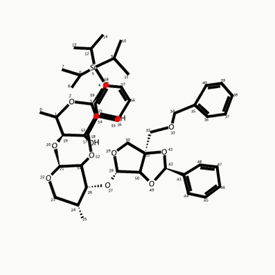 CC1O[C@@H](O[Si](C(C)C)(C(C)C)C(C)C)[C@@H](O)C(O)[C@H]1O[C@@H]1OC[C@@H](C)[C@@H](O[C@@H]2OC[C@@]3(COCc4ccccc4)O[C@@H](c4ccccc4)OC23)C1OCc1ccccc1